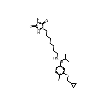 CC(C)[C@@H](NCCCCCCCn1[nH]c(=O)[nH]c1=O)c1ccc(F)c(OCC2CC2)c1